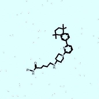 CC(C)NC(=O)CCCCNC1CCN(c2cccc(-c3ccc4c(c3)C(C)(C)CCC4(C)C)n2)CC1